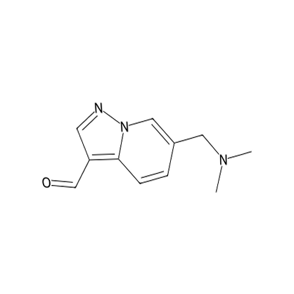 CN(C)Cc1ccc2c(C=O)cnn2c1